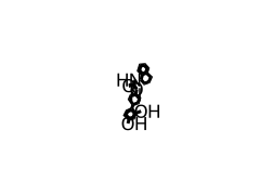 O=C(NC1CCCc2ccccc21)ON1CCC(c2ccc(O)cc2O)CC1